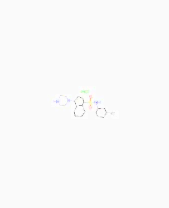 CCc1cccc(NS(=O)(=O)c2ccc(N3CCNCC3)c3ccccc23)c1.Cl